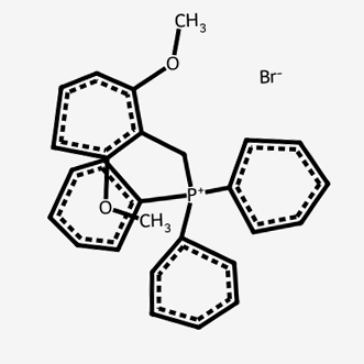 COc1cccc(OC)c1C[P+](c1ccccc1)(c1ccccc1)c1ccccc1.[Br-]